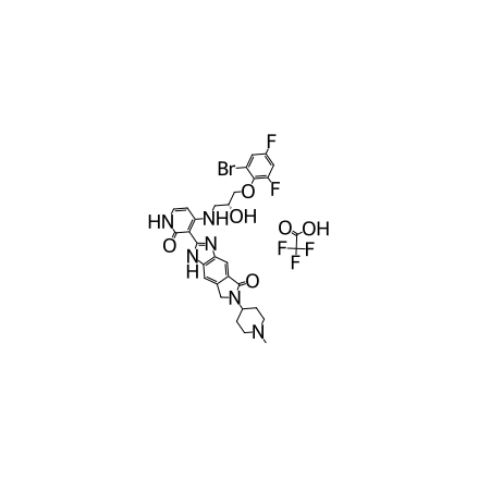 CN1CCC(N2Cc3cc4[nH]c(-c5c(NC[C@@H](O)COc6c(F)cc(F)cc6Br)cc[nH]c5=O)nc4cc3C2=O)CC1.O=C(O)C(F)(F)F